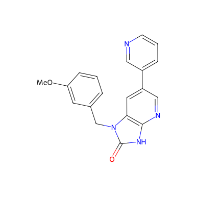 COc1cccc(Cn2c(=O)[nH]c3ncc(-c4cccnc4)cc32)c1